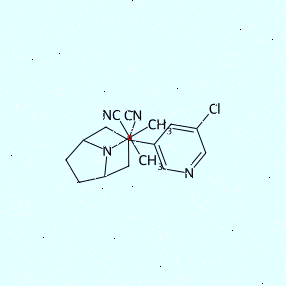 CC(C)(C#N)N1C2CCC1CC(C#N)(c1cncc(Cl)c1)C2